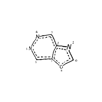 c1nc2cnncc2o1